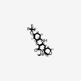 CNN1C(=O)C2=C(CC13C=COCC3)NC1=C(C=C(OC(F)(F)F)CC1)S2